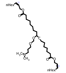 CCCCCC/C=C\COC(=O)CCCCCCCC(CCCCCCCC(=O)OC/C=C\CCCCCC)OCOCCCN(C)C